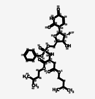 CC(C)CCOC(=O)C[C@H](NP(=O)(OC[C@H]1O[C@@H](n2ccc(=O)[nH]c2=O)[C@H](F)C1O)Oc1ccccc1)C(=O)OCCC(C)C